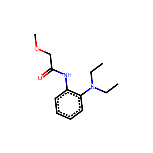 CCN(CC)c1ccccc1NC(=O)COC